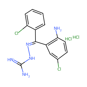 Cl.Cl.N=C(N)N/N=C(\c1cc(Cl)ccc1N)c1ccccc1Cl